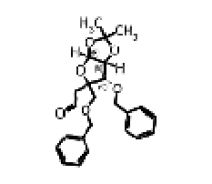 CC1(C)O[C@H]2OC(CC=O)(COCc3ccccc3)[C@@H](OCc3ccccc3)[C@H]2O1